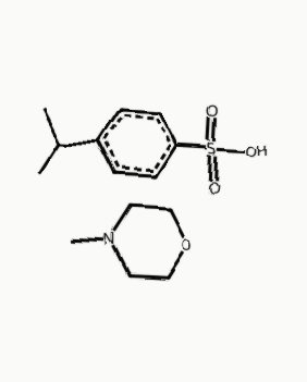 CC(C)c1ccc(S(=O)(=O)O)cc1.CN1CCOCC1